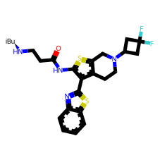 CC[C@H](C)NCCC(=O)Nc1sc2c(c1-c1nc3ccccc3s1)CCN(C1CC(F)(F)C1)C2